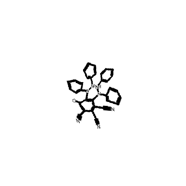 N#Cc1c(Cl)c(N(Nc2ccccc2)c2ccccc2)c(N(Nc2ccccc2)c2ccccc2)c(C#N)c1C#N